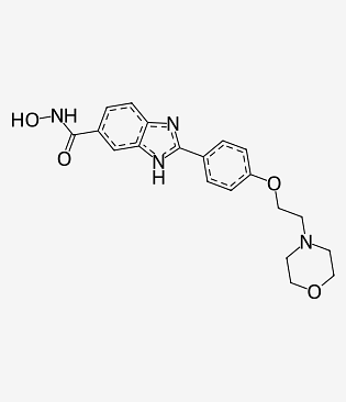 O=C(NO)c1ccc2nc(-c3ccc(OCCN4CCOCC4)cc3)[nH]c2c1